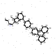 C=C/C=C\c1sc2c(-c3ccc(-c4cnc5c6ccccc6c6ccccc6c5n4)cc3)cccc2c1C